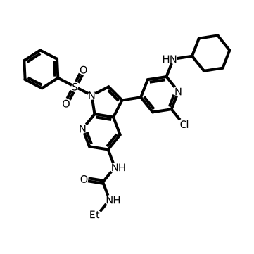 CCNC(=O)Nc1cnc2c(c1)c(-c1cc(Cl)nc(NC3CCCCC3)c1)cn2S(=O)(=O)c1ccccc1